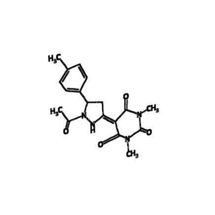 CC(=O)N1NC(=C2C(=O)N(C)C(=O)N(C)C2=O)CC1c1ccc(C)cc1